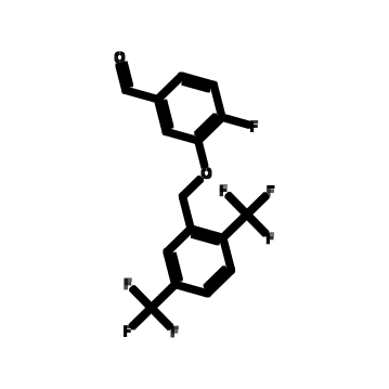 O=Cc1ccc(F)c(OCc2cc(C(F)(F)F)ccc2C(F)(F)F)c1